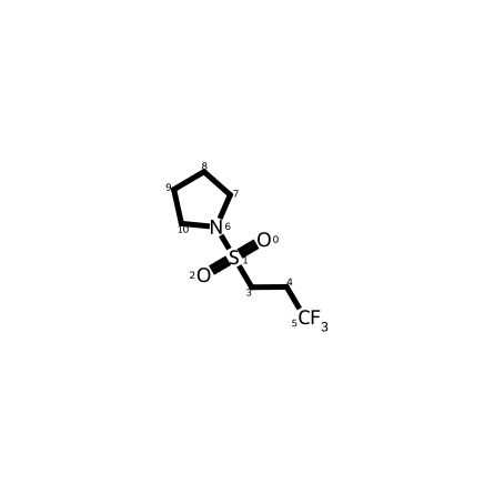 O=S(=O)(CCC(F)(F)F)N1CCCC1